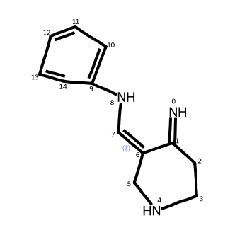 N=C1CCNC/C1=C/Nc1ccccc1